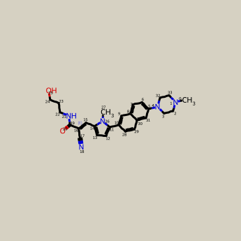 CN1CCN(c2ccc3cc(-c4ccc(/C=C(\C#N)C(=O)NCCCO)n4C)ccc3c2)CC1